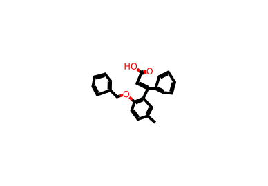 Cc1ccc(OCc2ccccc2)c(/C(=C/C(=O)O)c2ccccc2)c1